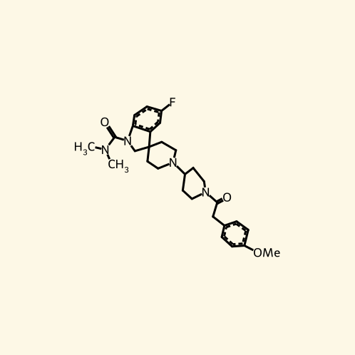 COc1ccc(CC(=O)N2CCC(N3CCC4(CC3)CN(C(=O)N(C)C)c3ccc(F)cc34)CC2)cc1